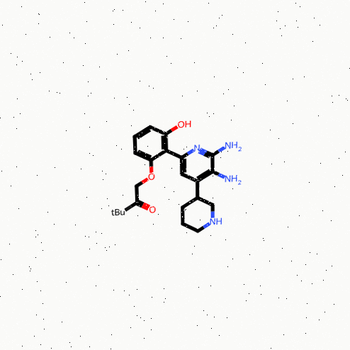 CC(C)(C)C(=O)COc1cccc(O)c1-c1cc(C2CCCNC2)c(N)c(N)n1